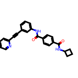 O=C(Nc1cccc(C#Cc2ccccn2)c1)c1ccc(C(=O)NC2CCC2)cc1